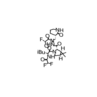 CC[C@H](C)[C@H](NC(=O)C(F)F)C(=O)N1C[C@H]2[C@@H]([C@H]1C(=O)NN(C[C@@H]1CCCNC1=O)C(=O)[C@H](F)Cl)C2(C)C